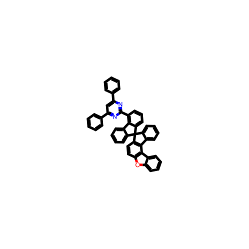 c1ccc(-c2cc(-c3ccccc3)nc(-c3cccc4c3-c3ccccc3C43c4ccccc4-c4c3ccc3oc5ccccc5c43)n2)cc1